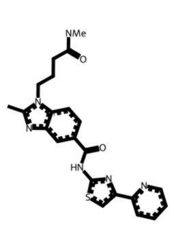 CNC(=O)CCCn1c(C)nc2cc(C(=O)Nc3nc(-c4ccccn4)cs3)ccc21